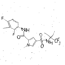 Cc1c(F)ccc(NC(=O)c2cc(S(=O)(=O)NC(C)(C)C(F)(F)F)cn2C)c1F